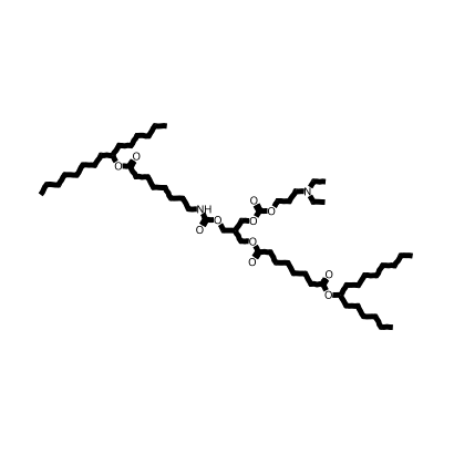 CCCCCCCCC(CCCCCC)OC(=O)CCCCCCCNC(=O)OCC(COC(=O)CCCCCCC(=O)OC(CCCCCC)CCCCCCCC)COC(=O)OCCCN(CC)CC